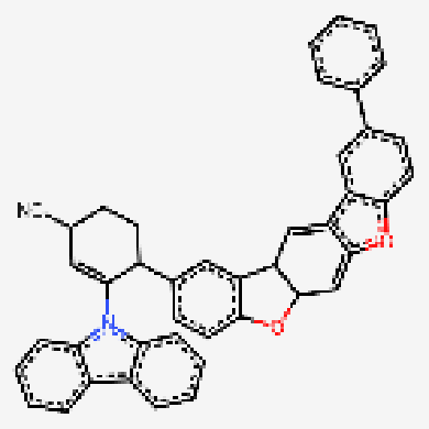 N#CC1C=C(n2c3ccccc3c3ccccc32)C(c2ccc3c(c2)C2C=c4c(oc5ccc(-c6ccccc6)cc45)=CC2O3)CC1